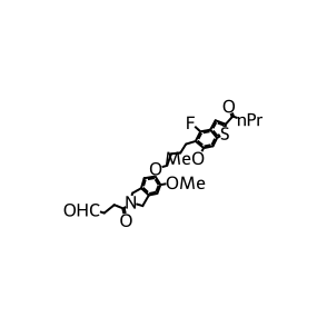 CCCC(=O)c1cc2c(F)c(CCCCOc3cc4c(cc3OC)CN(C(=O)CCC=O)C4)c(OC)cc2s1